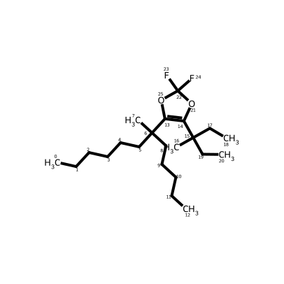 CCCCCCC(C)(CCCCC)C1=C(C(C)(CC)CC)OC(F)(F)O1